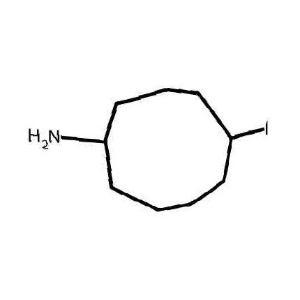 NC1CCCCC(I)CCC1